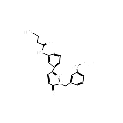 CCOC(=O)Nc1cccc(Cn2nc(-c3cccc(NC(=O)CCN)c3)ccc2=O)c1